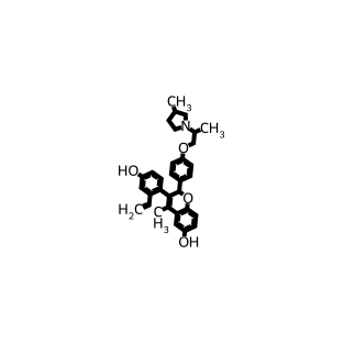 C=Cc1cc(O)ccc1C1=C(C)c2cc(O)ccc2OC1c1ccc(OCC(C)N2CCC(C)C2)cc1